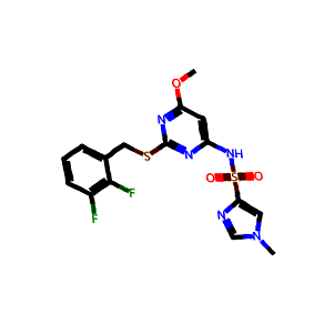 COc1cc(NS(=O)(=O)c2cn(C)cn2)nc(SCc2cccc(F)c2F)n1